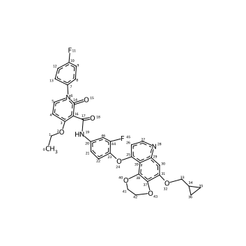 CCOc1ccn(-c2ccc(F)cc2)c(=O)c1C(=O)Nc1ccc(Oc2ccnc3cc(OCC4CC4)c4c(c23)OCCO4)c(F)c1